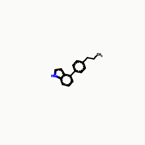 CCCc1ccc(-c2cccc3[nH]ccc23)cc1